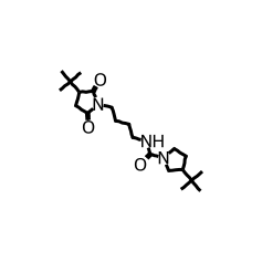 CC(C)(C)C1CCN(C(=O)NCCCCN2C(=O)CC(C(C)(C)C)C2=O)C1